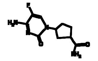 NC(=O)C1CCC(n2cc(F)c(N)nc2=O)C1